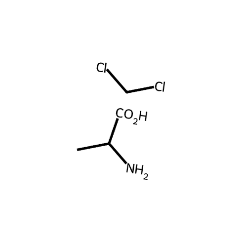 CC(N)C(=O)O.ClCCl